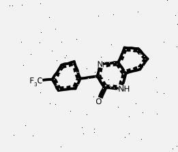 O=c1[nH]c2ccccc2nc1-c1ccc(C(F)(F)F)cc1